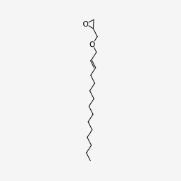 CCCCCCCCCCCCC=CCOCC1CO1